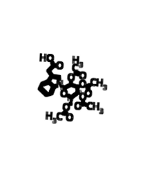 CC(=O)OC[C@H]1O[C@@H](n2cc(CC(=O)O)c3ccccc32)C(OC(C)=O)C(OC(C)=O)[C@@H]1OC(C)=O